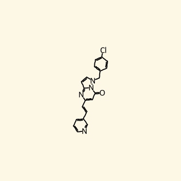 O=c1cc(/C=C/c2cccnc2)nc2ccn(Cc3ccc(Cl)cc3)n12